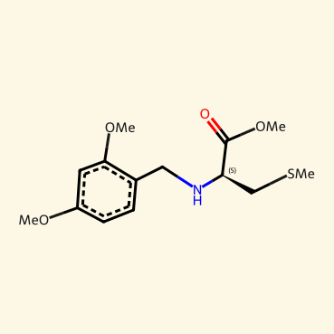 COC(=O)[C@@H](CSC)NCc1ccc(OC)cc1OC